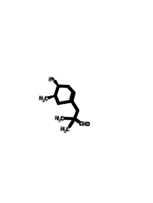 CC(C)[C@H]1CC=C(CC(C)(C)C=O)C[C@H]1C